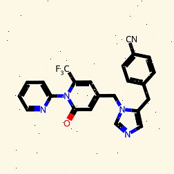 N#Cc1ccc(Cc2cncn2Cc2cc(C(F)(F)F)n(-c3ccccn3)c(=O)c2)cc1